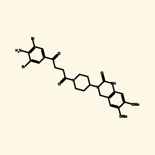 COc1cc2c(cc1OC)NC(=O)N(C1CCN(C(=O)CCC(=O)c3cc(Br)c(N)c(Br)c3)CC1)C2